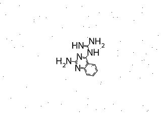 N=C(N)Nc1nc(N)nc2ccccc12